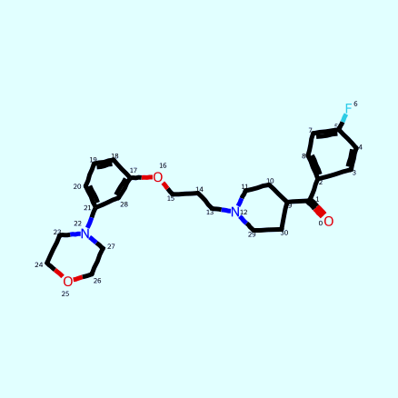 O=C(c1ccc(F)cc1)C1CCN(CCCOc2cccc(N3CCOCC3)c2)CC1